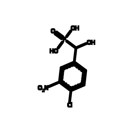 O=[N+]([O-])c1cc(C(O)P(=O)(O)O)ccc1Cl